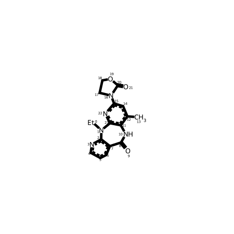 CCN1c2ncccc2C(=O)Nc2c(C)cc(N3CCOC3=O)nc21